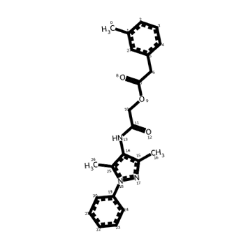 Cc1cccc(CC(=O)OCC(=O)Nc2c(C)nn(-c3ccccc3)c2C)c1